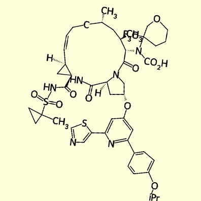 CC(C)Oc1ccc(-c2cc(O[C@@H]3C[C@H]4C(=O)N[C@]5(C(=O)NS(=O)(=O)C6(C)CC6)C[C@H]5C=CCC[C@H](C)C[C@@H](C)[C@H](N(C(=O)O)C5(C(F)(F)F)CCCOC5)C(=O)N4C3)cc(-c3cncs3)n2)cc1